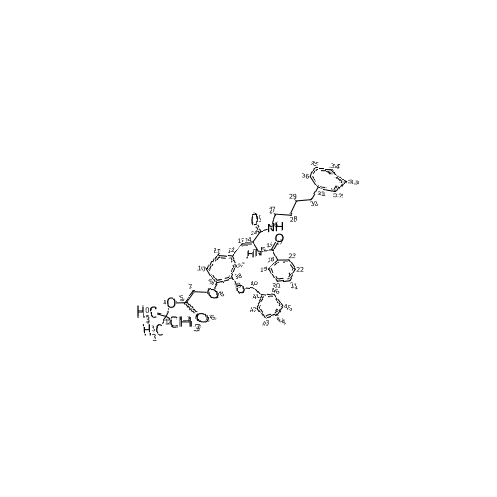 CC(C)(C)OC(=O)COc1ccc(C=C(NC(=O)c2ccccc2)C(=O)NCCCCc2ccccc2)cc1OCc1ccccc1